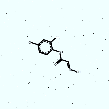 O=C(C=NO)Nc1ccc(Cl)cc1C(F)(F)F